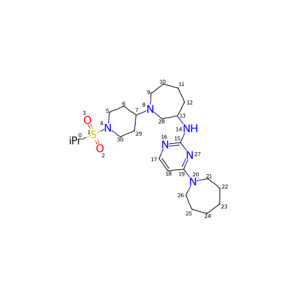 CC(C)S(=O)(=O)N1CCC(N2CCCCC(Nc3nccc(N4CCCCCC4)n3)C2)CC1